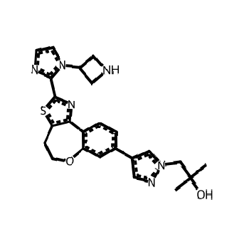 CC(C)(O)Cn1cc(-c2ccc3c(c2)OCCc2sc(-c4nccn4C4CNC4)nc2-3)cn1